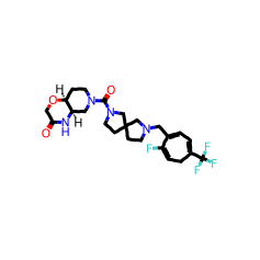 O=C1CO[C@H]2CCN(C(=O)N3CCC4(CCN(CC5=CC=C(C(F)(F)F)CC=C5F)C4)C3)C[C@H]2N1